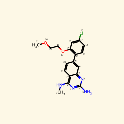 CNc1nc(N)nc2cc(-c3ccc(Cl)cc3OCCOC)ccc12